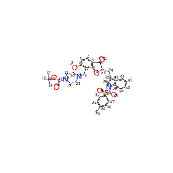 COc1ccc2c(c1CN1CCN(C(=O)OC(C)(C)C)CC1)OC(Cc1cn(S(=O)(=O)c3ccc(C)cc3)c3ccccc13)C2=O